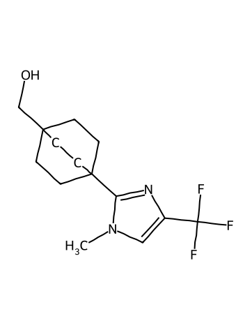 Cn1cc(C(F)(F)F)nc1C12CCC(CO)(CC1)CC2